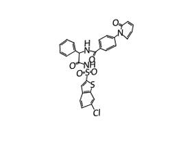 O=C(NC(C(=O)NS(=O)(=O)c1cc2ccc(Cl)cc2s1)c1ccccc1)c1ccc(-n2ccccc2=O)cc1